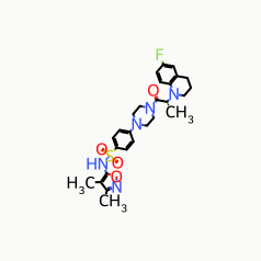 Cc1noc(NS(=O)(=O)c2ccc(N3CCN(C(=O)[C@@H](C)N4CCCc5cc(F)ccc54)CC3)cc2)c1C